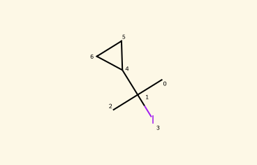 CC(C)(I)C1CC1